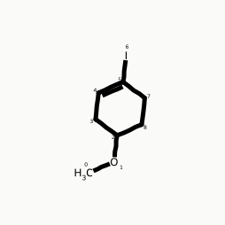 COC1CC=C(I)CC1